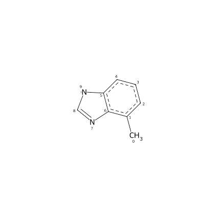 Cc1cccc2c1N=C[N]2